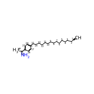 C#CCCCCCCCCCCCCCCc1ccc(C(C)N)cc1